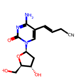 N#CCC=Cc1cn([C@H]2C[C@H](O)[C@@H](CO)O2)c(=O)nc1N